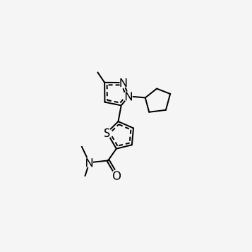 Cc1cc(-c2ccc(C(=O)N(C)C)s2)n(C2CCCC2)n1